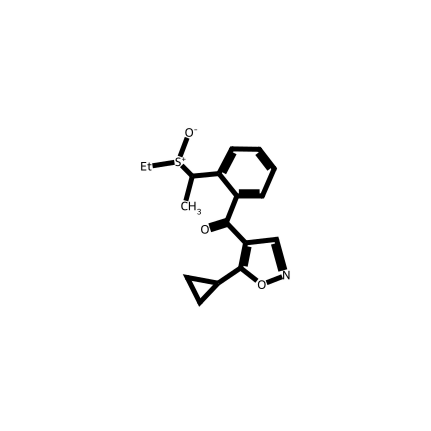 CC[S+]([O-])C(C)c1ccccc1C(=O)c1cnoc1C1CC1